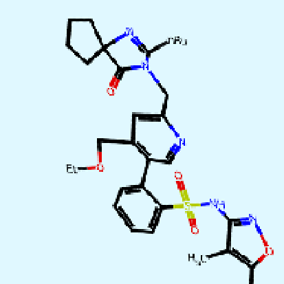 CCCCC1=NC2(CCCC2)C(=O)N1Cc1cc(COCC)c(-c2ccccc2S(=O)(=O)Nc2noc(C)c2C)cn1